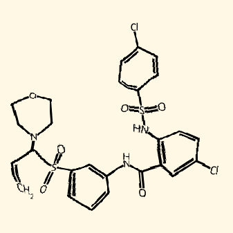 C=CC(N1CCOCC1)S(=O)(=O)c1cccc(NC(=O)c2cc(Cl)ccc2NS(=O)(=O)c2ccc(Cl)cc2)c1